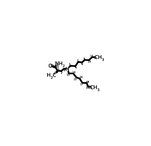 C=C(CCN(CCCCCCCC)CCCCCCCC)C(N)=O